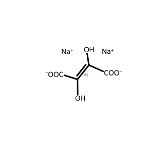 O=C([O-])/C(O)=C(\O)C(=O)[O-].[Na+].[Na+]